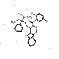 CCC(CCC1c2[nH]c3ccccc3c2CCN1C(=O)c1cc(F)ccc1F)(c1ccccc1)N(C)C